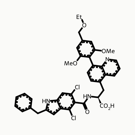 CCOCc1cc(OC)c(-c2ccc(C[C@H](NC(=O)c3c(Cl)cc4[nH]c(Cc5ccccc5)cc4c3Cl)C(=O)O)c3cccnc23)c(OC)c1